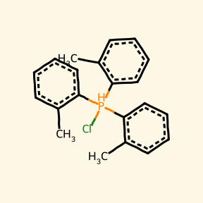 Cc1ccccc1[PH](Cl)(c1ccccc1C)c1ccccc1C